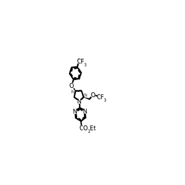 CCOC(=O)c1cnc(N2C[C@@H](Oc3ccc(C(F)(F)F)cc3)C[C@H]2COC(F)(F)F)nc1